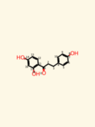 O=C(CCc1ccc(O)cc1)c1ccc(O)cc1O